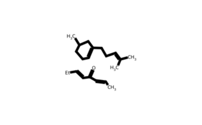 CC(C)=CCCC1=CCCC(C)C1.CC=CC(=O)C=CCC